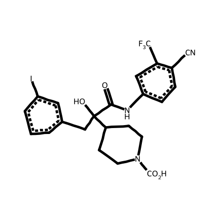 N#Cc1ccc(NC(=O)C(O)(Cc2cccc(I)c2)C2CCN(C(=O)O)CC2)cc1C(F)(F)F